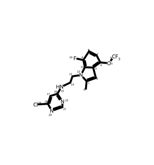 Cc1cc2c(OC(F)(F)F)ccc(F)c2n1CCNc1cc(Cl)ncn1